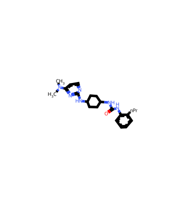 CCCc1ccccc1NC(=O)NC1CCC(Nc2nccc(N(C)C)n2)CC1